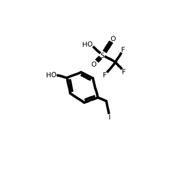 O=S(=O)(O)C(F)(F)F.Oc1ccc(CI)cc1